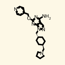 Nc1nc(OCc2ccncc2)nc2c1cnn2C[C@H]1CC[C@H](CN2CCCC2)CC1